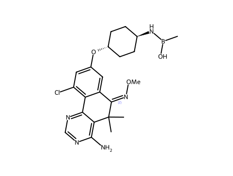 CO/N=C1\c2cc(O[C@H]3CC[C@H](NB(C)O)CC3)cc(Cl)c2-c2ncnc(N)c2C1(C)C